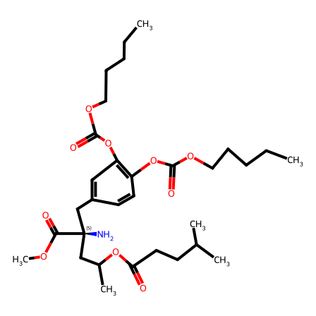 CCCCCOC(=O)Oc1ccc(C[C@](N)(CC(C)OC(=O)CCC(C)C)C(=O)OC)cc1OC(=O)OCCCCC